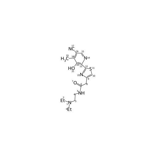 CCN(CC)CCNC(=O)Cc1csc(-c2ncc(C#N)c(C)c2O)n1